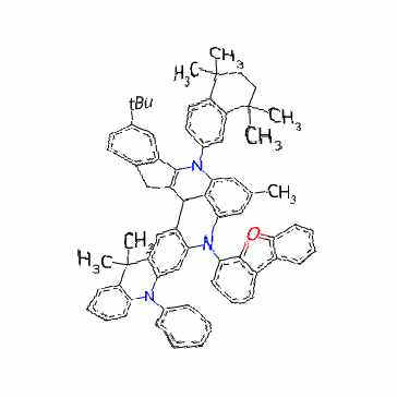 Cc1cc2c3c(c1)N(c1cccc4c1oc1ccccc14)c1cc4c(cc1C3C1=C(c3cc(C(C)(C)C)ccc3C1)N2c1ccc2c(c1)C(C)(C)CCC2(C)C)C(C)(C)c1ccccc1N4c1ccccc1